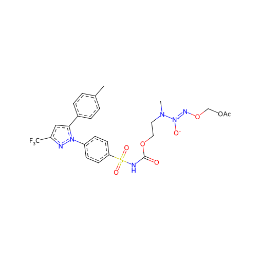 CC(=O)OCON=[N+]([O-])N(C)CCOC(=O)NS(=O)(=O)c1ccc(-n2nc(C(F)(F)F)cc2-c2ccc(C)cc2)cc1